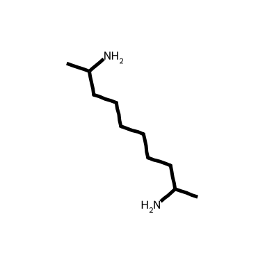 CC(N)CCCCCCC(C)N